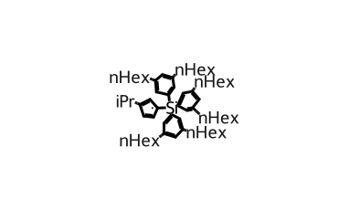 CCCCCCc1cc(CCCCCC)cc([Si]([C]2C=CC(C(C)C)=C2)(c2cc(CCCCCC)cc(CCCCCC)c2)c2cc(CCCCCC)cc(CCCCCC)c2)c1